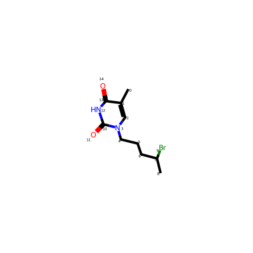 Cc1cn(CCCC(C)Br)c(=O)[nH]c1=O